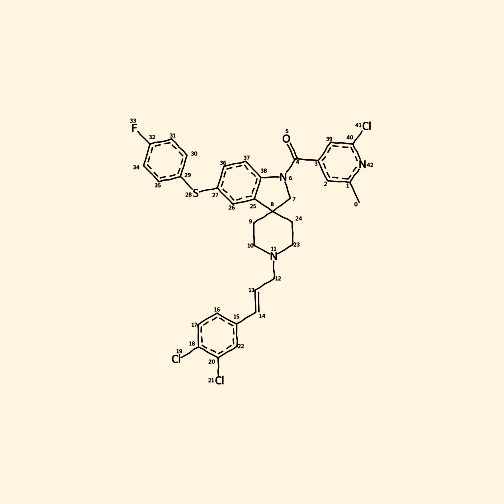 Cc1cc(C(=O)N2CC3(CCN(CC=Cc4ccc(Cl)c(Cl)c4)CC3)c3cc(Sc4ccc(F)cc4)ccc32)cc(Cl)n1